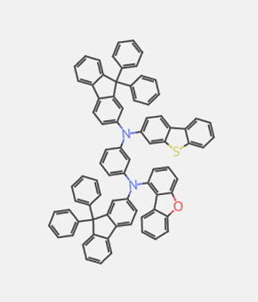 c1ccc(C2(c3ccccc3)c3ccccc3-c3ccc(N(c4cccc(N(c5ccc6c(c5)C(c5ccccc5)(c5ccccc5)c5ccccc5-6)c5cccc6oc7ccccc7c56)c4)c4ccc5c(c4)sc4ccccc45)cc32)cc1